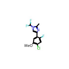 COc1cc(-c2cn(C(F)F)c(C)n2)c(F)cc1Cl